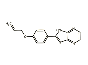 C=CCOc1ccc(-c2nc3nccnc3[nH]2)cc1